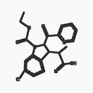 CCOC(=O)N1c2cc(Cl)ccc2C(C(C)C(=O)O)C1C(=O)c1ccccn1